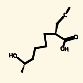 CCC[C@H](CCCC[C@H](C)O)C(=O)O